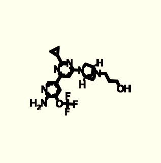 Nc1ncc(-c2cc(N3C[C@@H]4C[C@H]3CN4CCCO)nc(C3CC3)n2)cc1OC(F)(F)F